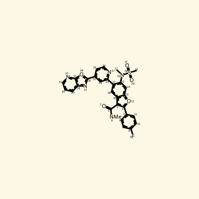 CNC(=O)c1c(-c2ccc(F)cc2)oc2cc(N(C)S(C)(=O)=O)c(-c3cc(-c4nc5cccnc5o4)ccn3)cc12